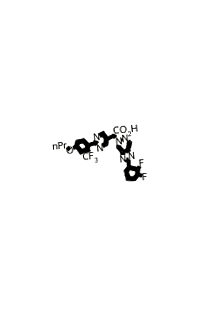 CCCOc1ccc(-c2ncc(C(C(=O)O)n3cc4nc(-c5cccc(F)c5F)nc-4cn3)cn2)c(C(F)(F)F)c1